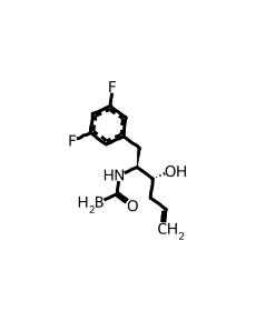 BC(=O)N[C@@H](Cc1cc(F)cc(F)c1)[C@H](O)CC=C